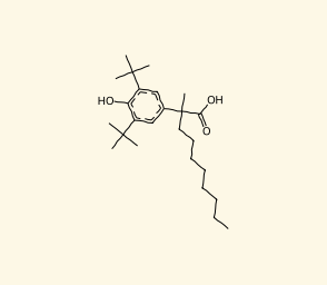 CCCCCCCCC(C)(C(=O)O)c1cc(C(C)(C)C)c(O)c(C(C)(C)C)c1